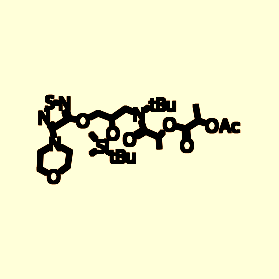 CC(=O)OC(C)C(=O)OC(C)C(=O)N(CC(COc1nsnc1N1CCOCC1)O[Si](C)(C)C(C)(C)C)C(C)(C)C